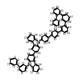 c1ccc(-c2cccc(-n3c4ccccc4c4cc(-c5ccc6c(c5)c5ccccc5n6-c5ccc(-c6ccc(-c7cccc(-c8cccc(-c9ccccc9-c9ccccc9)c8)c7)cc6)cc5)ccc43)c2)cc1